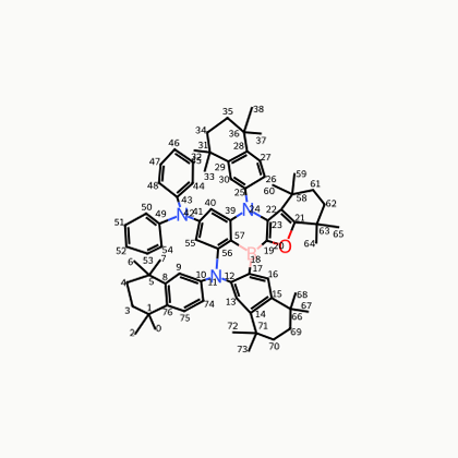 CC1(C)CCC(C)(C)c2cc(N3c4cc5c(cc4B4c6oc7c(c6N(c6ccc8c(c6)C(C)(C)CCC8(C)C)c6cc(N(c8ccccc8)c8ccccc8)cc3c64)C(C)(C)CCC7(C)C)C(C)(C)CCC5(C)C)ccc21